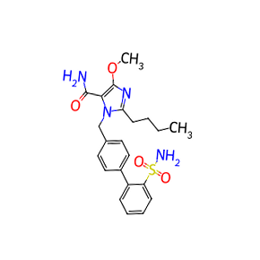 CCCCc1nc(OC)c(C(N)=O)n1Cc1ccc(-c2ccccc2S(N)(=O)=O)cc1